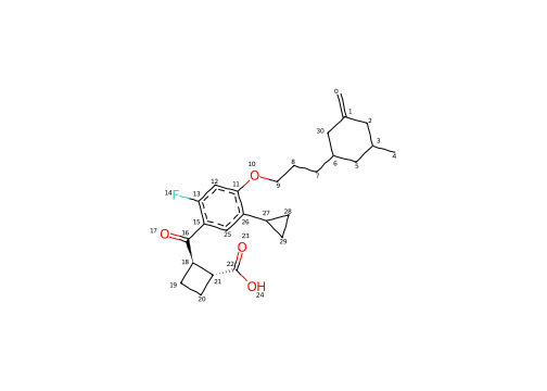 C=C1CC(C)CC(CCCOc2cc(F)c(C(=O)[C@@H]3CC[C@H]3C(=O)O)cc2C2CC2)C1